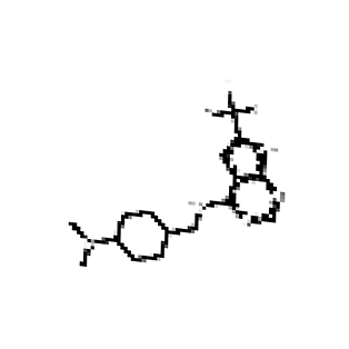 CN(C)C1CCC(CNc2ncnc3[nH]c(C(F)(F)F)cc23)CC1